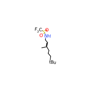 C/C(=C\CNS(=O)(=O)C(F)(F)F)CCCC(C)(C)C